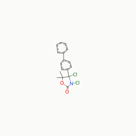 CC1(C)OC(=O)N(Cl)C1(Cl)c1ccc(-c2ccccc2)cc1